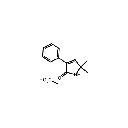 CC(=O)O.CC1(C)C=C(c2ccccc2)C(=O)N1